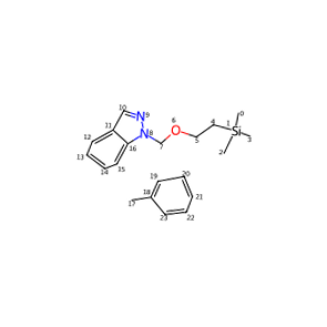 C[Si](C)(C)CCOCn1ncc2ccccc21.Cc1ccccc1